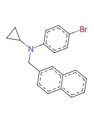 Brc1ccc(N(Cc2ccc3ccccc3c2)C2CC2)cc1